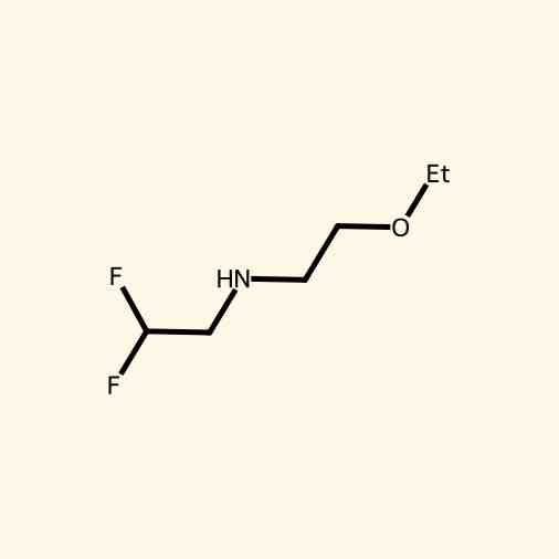 CCOCCNCC(F)F